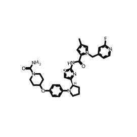 Cc1cc(C(=O)Nc2nc([C@H]3CCCN3c3ccc(OC4CCN(C(N)=O)CC4)cc3)cs2)n(Cc2ccnc(F)c2)c1